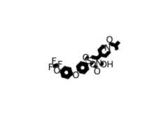 CC(C)C(=O)N1CCC(C(CS(=O)(=O)c2ccc(Oc3ccc(OC(F)(F)F)cc3)cc2)N(O)C=O)CC1